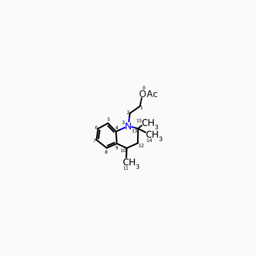 CC(=O)OCCN1c2ccccc2C(C)CC1(C)C